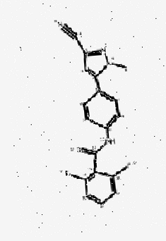 Cn1nc(C#N)cc1-c1ccc(NC(=O)c2c(F)cccc2F)cc1